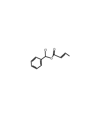 CC=CC(=O)OC(Cl)c1ccccc1